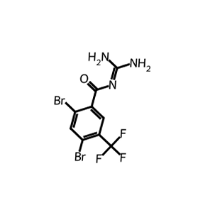 NC(N)=NC(=O)c1cc(C(F)(F)F)c(Br)cc1Br